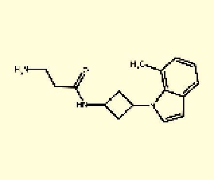 Cc1cccc2ccn(C3CC(NC(=O)CCN)C3)c12